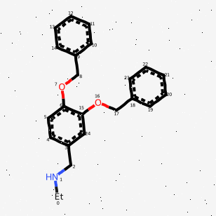 CCNCc1ccc(OCc2ccccc2)c(OCc2ccccc2)c1